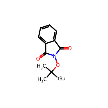 CC(C)(C)C(C)(C)ON1C(=O)c2ccccc2C1=O